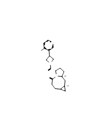 O=C([C@@H]1CC[C@@H]2C[C@@H]3C[C@H]3CCC(=O)N21)N1CC(c2cnccc2F)C1